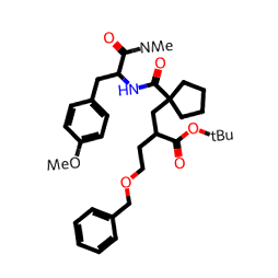 CNC(=O)C(Cc1ccc(OC)cc1)NC(=O)C1(CC(CCOCc2ccccc2)C(=O)OC(C)(C)C)CCCC1